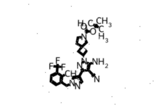 Cc1c(Cn2cc(-c3nn([C@H]4C[C@@]5(CCN(C(=O)OC(C)(C)C)C5)C4)c(N)c3C#N)cn2)cccc1C(F)(F)F